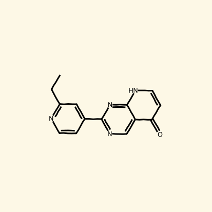 CCc1cc(-c2ncc3c(=O)cc[nH]c3n2)ccn1